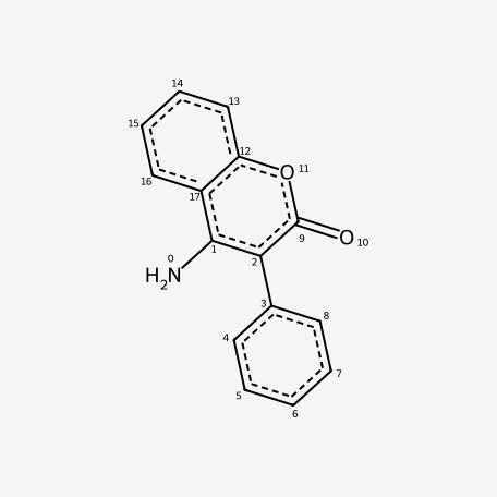 Nc1c(-c2ccccc2)c(=O)oc2ccccc12